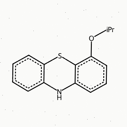 CC(C)Oc1cccc2c1Sc1ccccc1N2